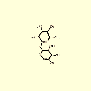 C[C@@H]1O[C@@H](O[C@@H]2OC[C@H](O)[C@H](O)[C@H]2O)[C@H](O)[C@H](O)[C@H]1O